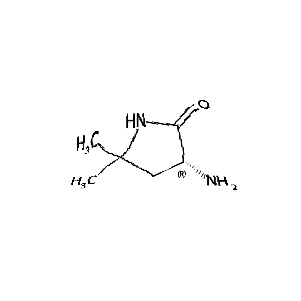 CC1(C)C[C@@H](N)C(=O)N1